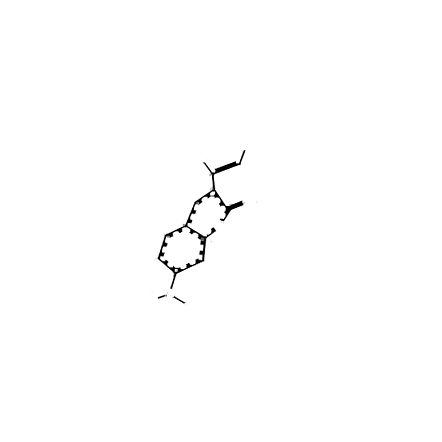 CCN(CC)c1ccc2cc(C(Cl)=CC=O)c(=O)oc2c1